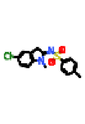 Cc1ccc(S(=O)(=O)N=C2Cc3cc(Cl)ccc3N2C)cc1